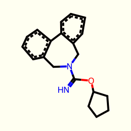 N=C(OC1CCCC1)N1Cc2ccccc2-c2ccccc2C1